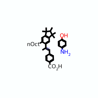 CCCCCCCCc1cc2c(cc1/C(C)=C/c1ccc(C(=O)O)cc1)C(C)(C)C(C)C2(C)C.Nc1ccc(O)cc1